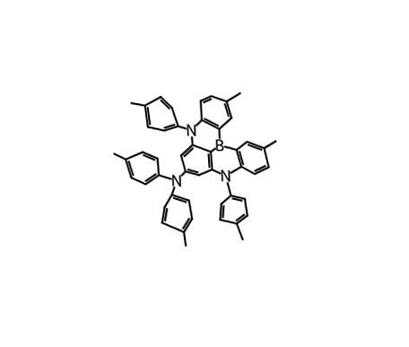 Cc1ccc(N(c2ccc(C)cc2)c2cc3c4c(c2)N(c2ccc(C)cc2)c2ccc(C)cc2B4c2cc(C)ccc2N3c2ccc(C)cc2)cc1